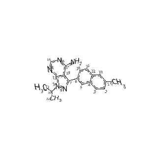 Cc1ccc2cc(-c3nn(C(C)C)c4ncnc(N)c34)ccc2c1